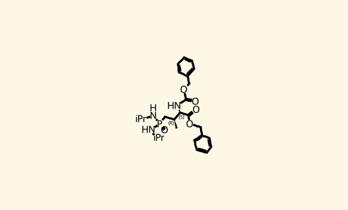 CC(C)NP(=O)(C[C@H](C)[C@H](NC(=O)OCc1ccccc1)C(=O)OCc1ccccc1)NC(C)C